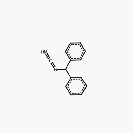 N=C=NC(c1ccccc1)c1ccccc1